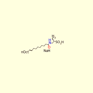 CCCCCCCCC=CCCCCCCCC(=O)NCC(C)S(=O)(=O)O.[NaH]